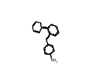 Nc1ccc(C=c2ccc[c]c2=C2[CH]C=CC=C2)cc1